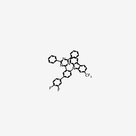 Fc1ccc(-c2ccc(-n3c4ccccc4c4ccc(C(F)(F)F)cc43)c(-c3nc(-c4ccccc4)nc(-c4ccccc4)n3)c2)cc1F